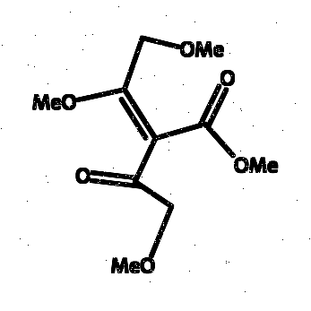 COCC(=O)/C(C(=O)OC)=C(/COC)OC